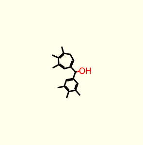 CC1=CC(C(O)c2cc(C)c(C)c(C)c2)=CCC(C)=C1C